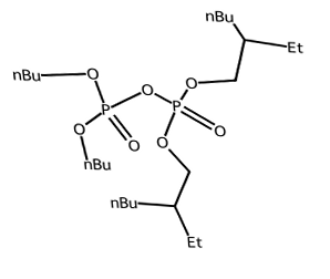 CCCCOP(=O)(OCCCC)OP(=O)(OCC(CC)CCCC)OCC(CC)CCCC